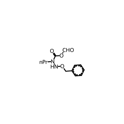 CCCN(NOCc1ccccc1)C(=O)OC=O